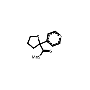 CSC(=S)C1(c2ccncc2)CCCS1